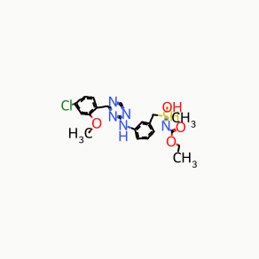 CCOC(=O)N=[SH](C)(O)Cc1cccc(Nc2ncnc(-c3ccc(Cl)cc3OC)n2)c1